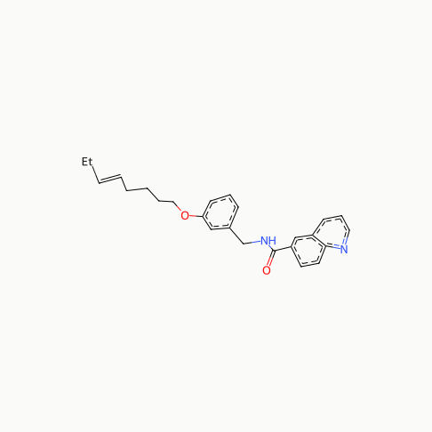 CCC=CCCCCOc1cccc(CNC(=O)c2ccc3ncccc3c2)c1